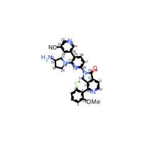 COc1cccc(F)c1-c1nccc2c1CN(c1ccc(-c3cncc(C#N)c3)c(N3CCC(N)C3)n1)C2=O